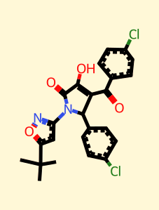 CC(C)(C)c1cc(N2C(=O)C(O)=C(C(=O)c3ccc(Cl)cc3)C2c2ccc(Cl)cc2)no1